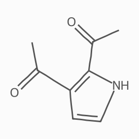 CC(=O)c1cc[nH]c1C(C)=O